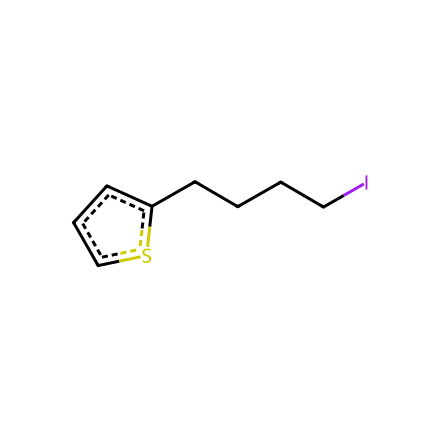 ICCCCc1cccs1